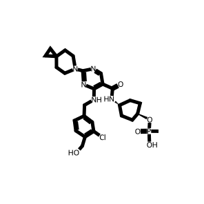 CP(=O)(O)O[C@H]1CC[C@H](NC(=O)c2cnc(N3CCC4(CC3)CC4)nc2NCc2ccc(CO)c(Cl)c2)CC1